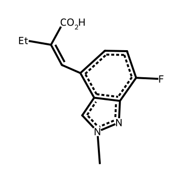 CCC(=Cc1ccc(F)c2nn(C)cc12)C(=O)O